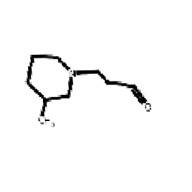 CC1CCCN(CCC=O)C1